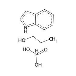 CCCO.O=[PH](O)O.c1ccc2[nH]ccc2c1